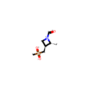 C[C@@H]1[C@@H](CS(C)(=O)=O)CN1C=O